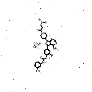 CC(=O)O.CCN(CC)CCC(=O)N1CCC(n2nc(-c3ccc(NC(=O)Nc4cccc(C)c4)c(F)c3)c3c(N)ncnc32)CC1